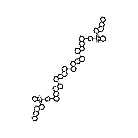 c1ccc2cc3c(ccc4c(-n5c(-c6ccc(-c7cccc8cc9c(ccc%10c(-c%11cccc%12cc%13c(ccc%14c(-c%15cccc%16c%15ccc%15cc%17c(-c%18cccc%19c%18ccc%18cc%20c(-c%21ccc(-c%22nc%23ccccc%23n%22-c%22cccc%23c%22ccc%22cc%24ccccc%24cc%22%23)cc%21)cccc%20cc%18%19)cccc%17cc%15%16)cccc%14%13)cc%11%12)cccc%109)cc78)cc6)nc6ccccc65)cccc43)cc2c1